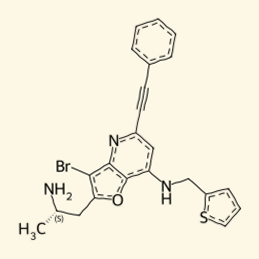 C[C@H](N)Cc1oc2c(NCc3cccs3)cc(C#Cc3ccccc3)nc2c1Br